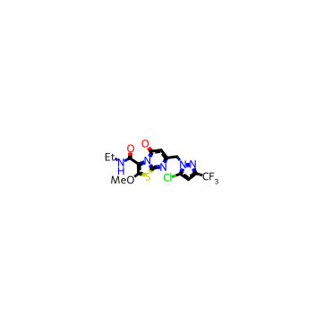 CCNC(=O)c1c(OC)sc2nc(Cn3nc(C(F)(F)F)cc3Cl)cc(=O)n12